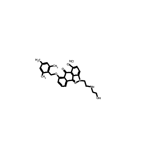 Cc1cc(C)c(COc2cccc3c2C(=O)c2c(Cl)ccc4c2c-3nn4CCNCCO)c(C)c1.Cl